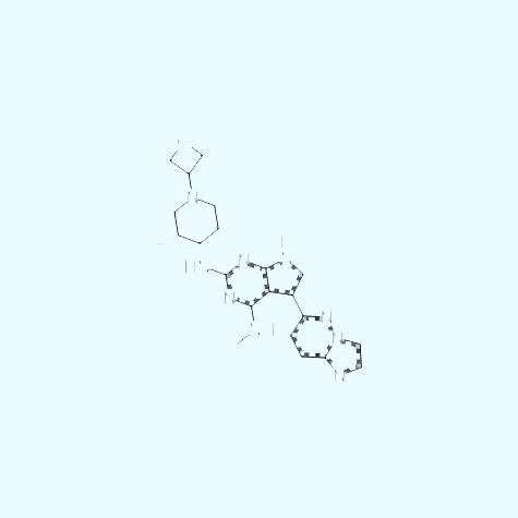 CNc1nc(N[C@H]2CCN(C3COC3)C[C@H]2F)nc2[nH]cc(-c3ccc4nccn4n3)c12